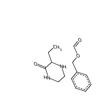 CCC1NCCNC1=O.O=COCc1ccccc1